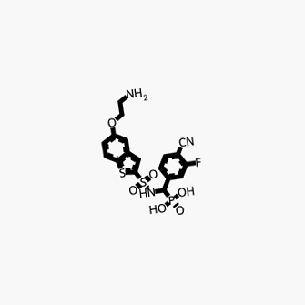 N#Cc1ccc(C(NS(=O)(=O)c2cc3cc(OCCN)ccc3s2)P(=O)(O)O)cc1F